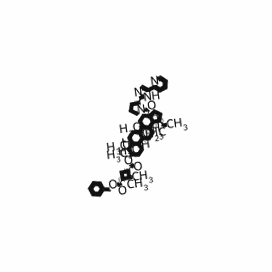 C=C(C)[C@@H]1CC[C@]2(C(=O)N3CCC[C@H]3c3ncc(-c4ccccn4)[nH]3)CC[C@]3(C)[C@H](CC[C@@H]4[C@@]5(C)CC[C@H](OC(=O)[C@H]6C[C@@H](C(=O)OCc7ccccc7)C6(C)C)C(C)(C)[C@@H]5CC[C@]43C)[C@@H]12